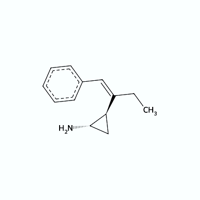 CCC(=Cc1ccccc1)[C@H]1C[C@@H]1N